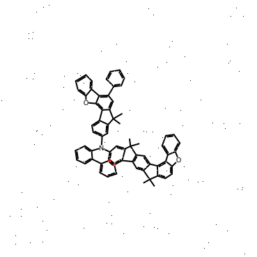 CC1(C)c2cc(N(c3ccc4c(c3)C(C)(C)c3cc(-c5ccccc5)c5c(oc6ccccc65)c3-4)c3ccccc3-c3ccccc3)ccc2-c2cc3c(cc21)-c1c(ccc2oc4ccccc4c12)C3(C)C